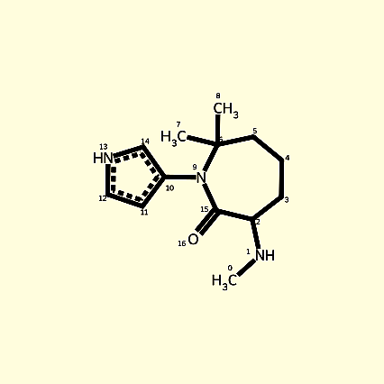 CNC1CCCC(C)(C)N(c2cc[nH]c2)C1=O